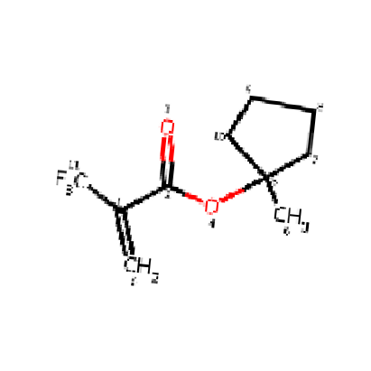 C=C(C(=O)OC1(C)CCCC1)C(F)(F)F